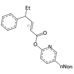 CCCCCCCCCc1ccc(OC(=O)/C=C/C(CC)c2ccccc2)nc1